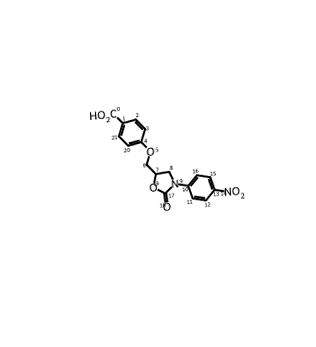 O=C(O)c1ccc(OCC2CN(c3ccc([N+](=O)[O-])cc3)C(=O)O2)cc1